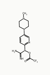 CN1CCN(c2ccc(N(OC(=O)C(F)(F)F)C(=N)N)nc2)CC1